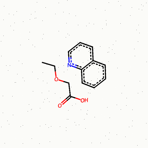 CCOCC(=O)O.c1ccc2ncccc2c1